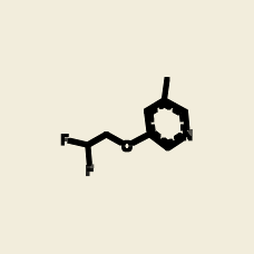 Cc1cncc(OCC(F)F)c1